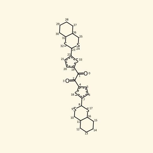 O=C(C(=O)c1ccc(C2SCC3CCCCC3S2)s1)c1ccc(C2SCC3CCCCC3S2)s1